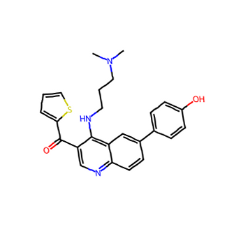 CN(C)CCCNc1c(C(=O)c2cccs2)cnc2ccc(-c3ccc(O)cc3)cc12